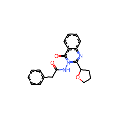 O=C(Cc1ccccc1)Nn1c(C2CCCO2)nc2ccccc2c1=O